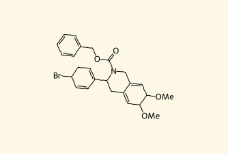 COC1C=C2CC(C3=CCC(Br)C=C3)N(C(=O)OCc3ccccc3)CC2=CC1OC